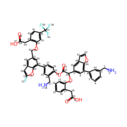 NCc1cccc(-c2cc(C(Oc3ccccc3CC(=O)O)C(=O)Oc3ccc(-c4cc(COc5cc(C(F)(F)F)ccc5CC(=O)O)cc5cc(F)oc45)cc3CN)cc3ccoc23)c1